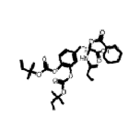 CCC(C)N[C@@](Cc1ccc(OC(=O)OC(C)(C)CC)c(OC(=O)OC(C)(C)CC)c1)(OC(=O)C1CCCCC1)C(=O)O